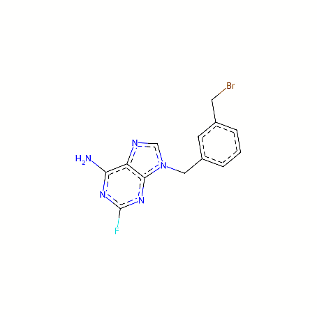 Nc1nc(F)nc2c1ncn2Cc1cccc(CBr)c1